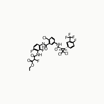 CCOC(=O)C(F)C(=O)Nc1c(F)ccc(NC(=O)c2cc(NC(=O)[C@H]3[C@H](c4ccc(F)c(C(F)(F)F)c4)C3(Cl)Cl)ccc2Cl)c1F